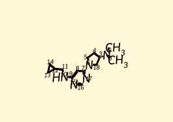 CN(C)[C@@H]1CCN(c2cc(NCC3CC3)ncn2)C1